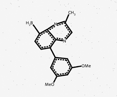 Bc1ccc(-c2cc(OC)cc(OC)c2)c2ncc(C)nc12